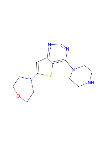 c1nc(N2CCNCC2)c2sc(N3CCOCC3)cc2n1